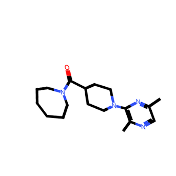 Cc1cnc(C)c(N2CCC(C(=O)N3CCCCCC3)CC2)n1